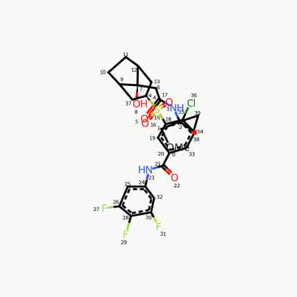 COCC1(NC(=O)C[C@]2(O)C3CCC2C[C@@H](S(=O)(=O)c2cc(C(=O)Nc4cc(F)c(F)c(F)c4)ccc2Cl)C3)CC1